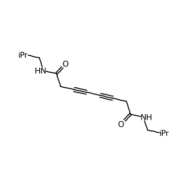 CC(C)CNC(=O)CC#CC#CCC(=O)NCC(C)C